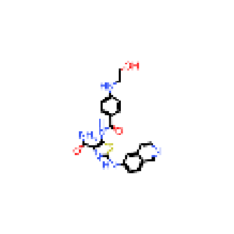 NC(=O)c1nc(Nc2ccc3cnccc3c2)sc1NC(=O)c1ccc(NCCO)cc1